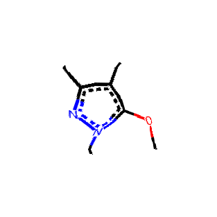 COc1c(C)c(C)nn1C